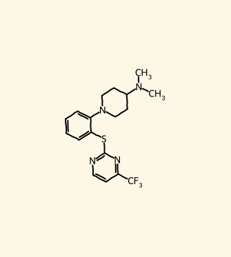 CN(C)C1CCN(c2ccccc2Sc2nccc(C(F)(F)F)n2)CC1